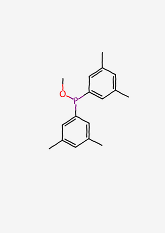 COP(c1cc(C)cc(C)c1)c1cc(C)cc(C)c1